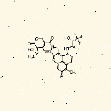 CC[C@@]1(O)C(=O)OCc2c1cc1n(c2=O)Cc2c-1nc1cc(F)c(C)c3c1c2[C@H](NC(=O)[C@H](O)C(F)(F)F)CC3